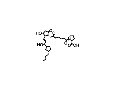 CCCC[C@H]1CC[C@H]([C@@H](O)/C=C/[C@H]2[C@H](O)CC(=O)[C@@H]2CC(=O)CCCCC(=O)N2CCC[C@H]2C(=O)O)C1